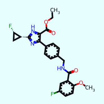 CCOC(=O)c1[nH]c([C@@H]2C[C@@H]2F)nc1-c1ccc(CNC(=O)c2cc(F)ccc2OC)cc1